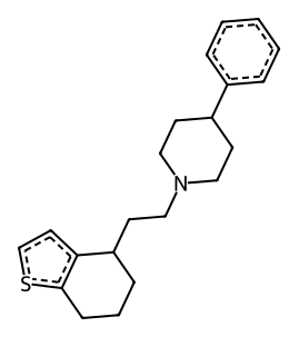 c1ccc(C2CCN(CCC3CCCc4sccc43)CC2)cc1